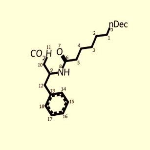 CCCCCCCCCCCCCCCC(=O)NC(CC(=O)O)Cc1ccccc1